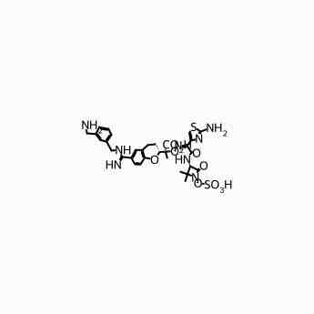 CC1(C)[C@H](NC(=O)/C(=N\O[C@](C)(C(=O)O)[C@H]2CCc3cc(C(=N)NCc4cccc(CN)c4)ccc3O2)c2csc(N)n2)C(=O)N1OS(=O)(=O)O